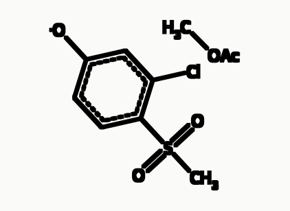 COC(C)=O.CS(=O)(=O)c1ccc([O])cc1Cl